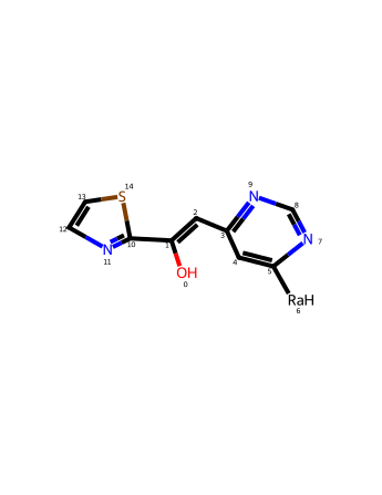 O/C(=C\c1c[c]([RaH])ncn1)c1nccs1